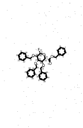 O=C(OCc1ccccc1)[C@H]1O[C@H](F)[C@H](OCc2ccccc2)[C@@H](OCc2ccccc2)[C@@H]1OCc1ccccc1